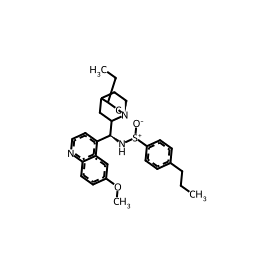 CCCc1ccc([S+]([O-])N[C@@H](c2ccnc3ccc(OC)cc23)C2CC3CC[N@]2CC3CC)cc1